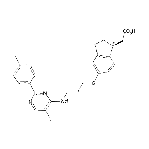 Cc1ccc(-c2ncc(C)c(NCCCOc3ccc4c(c3)CC[C@H]4CC(=O)O)n2)cc1